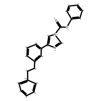 O=C(Oc1ccccc1)n1cnc(-c2cccc(CCc3ccccc3)c2)c1